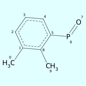 Cc1cccc(P=O)c1C